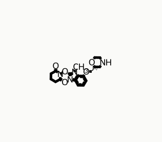 Cn1c(ON2C(=O)CCCC2=O)nc2cccc(OC[C@H]3CNCCO3)c21